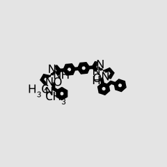 CN(C)[C@@H](C(=O)N1CCC[C@H]1c1ncc(-c2ccc(-c3ccc(-c4cnc([C@@H]5CCCN5C(=O)c5ccccc5Cc5ccccc5)[nH]4)cc3)cc2)[nH]1)c1ccccc1